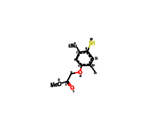 COC(=O)COc1cc(C(C)(C)C)c(S)cc1C